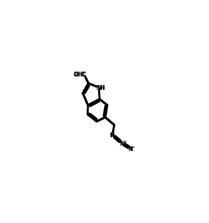 [N-]=[N+]=NCc1ccc2cc(C=O)[nH]c2c1